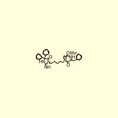 COC(=O)N[C@@H](Cc1ccccc1)C(=O)NCCCCCN1C(=N)NC(c2ccccc2)(c2ccccc2)C1=O